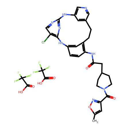 Cc1cc(C(=O)N2CCC(CC(=O)Nc3ccc4cc3CCc3cncc(c3)Nc3ncc(Cl)c(n3)N4)CC2)no1.O=C(O)C(F)(F)F.O=C(O)C(F)(F)F